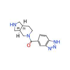 O=C(c1ccc2[nH]nnc2c1)N1CC[C@@H]2CNC[C@@H]2C1